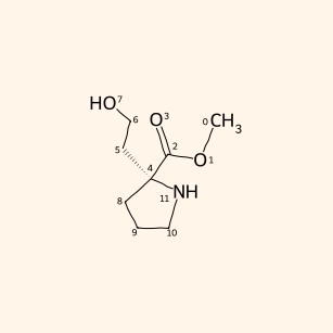 COC(=O)[C@]1(CCO)CCCN1